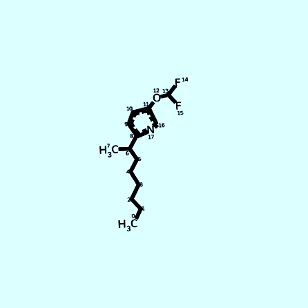 CCCCCCC(C)c1ccc(OC(F)F)cn1